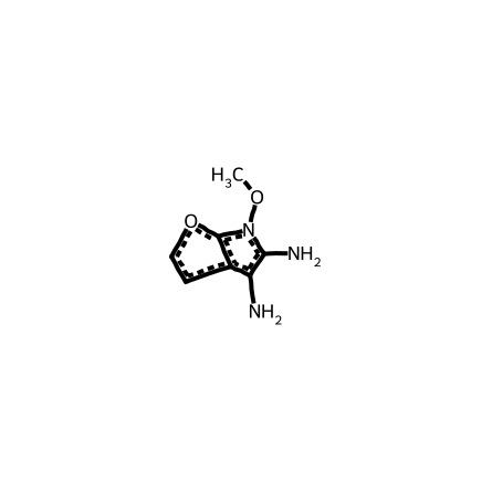 COn1c(N)c(N)c2ccoc21